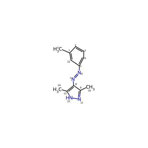 Cc1cccc(N=Nc2c(C)n[nH]c2C)c1